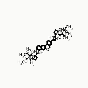 COC(=O)B[C@H](C(=O)N1[C@@H](C)CC[C@H]1c1ncc(-c2ccc3c(c2)COc2cc4c(ccc5nc([C@@H]6CC[C@H](C)N6C(=O)[C@@H](NC(=O)OC)C(C)C)[nH]c54)cc2-3)[nH]1)C(C)C